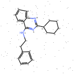 c1ccc(CCNc2nc(C3CCCCC3)nc3ccccc23)cc1